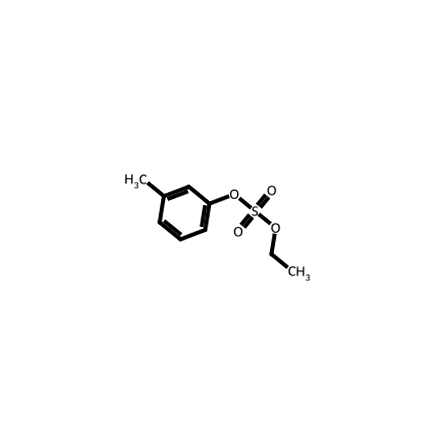 CCOS(=O)(=O)Oc1cccc(C)c1